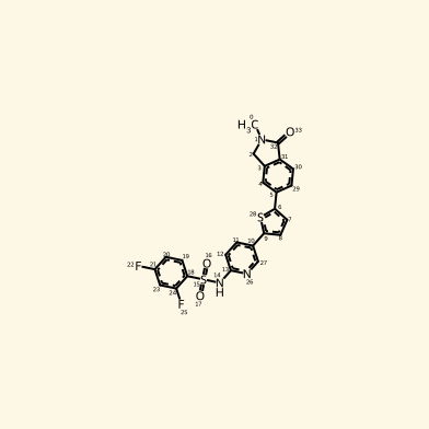 CN1Cc2cc(-c3ccc(-c4ccc(NS(=O)(=O)c5ccc(F)cc5F)nc4)s3)ccc2C1=O